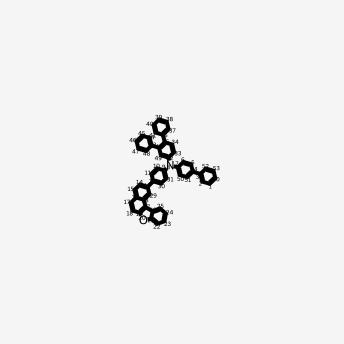 c1ccc(-c2ccc(N(c3ccc(-c4ccc5ccc6oc7ccccc7c6c5c4)cc3)c3ccc(-c4ccccc4)c(-c4ccccc4)c3)cc2)cc1